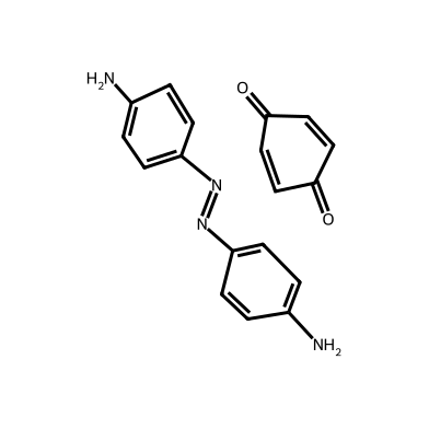 Nc1ccc(N=Nc2ccc(N)cc2)cc1.O=C1C=CC(=O)C=C1